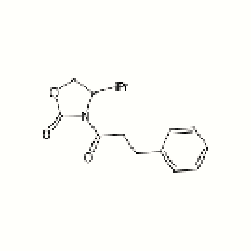 CC(C)C1COC(=O)N1C(=O)CCc1ccccc1